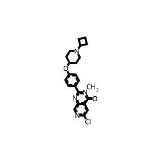 Cn1c(-c2ccc(OC3CCN(C4CCC4)CC3)cc2)nc2cnc(Cl)cc2c1=O